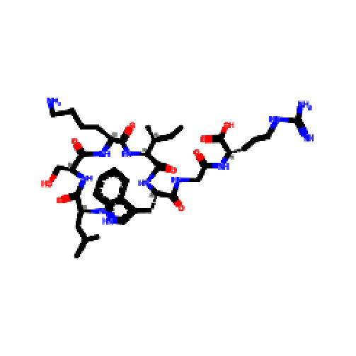 CC[C@H](C)[C@H](NC(=O)[C@H](CCCCN)NC(=O)[C@H](CO)NC(=O)[C@@H](N)CC(C)C)C(=O)N[C@@H](Cc1c[nH]c2ccccc12)C(=O)NCC(=O)N[C@@H](CCCNC(=N)N)C(=O)O